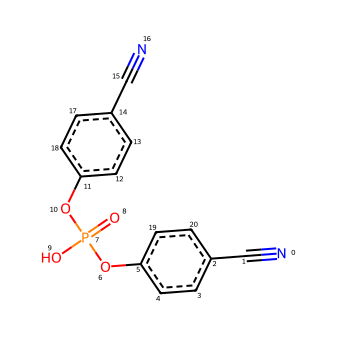 N#Cc1ccc(OP(=O)(O)Oc2ccc(C#N)cc2)cc1